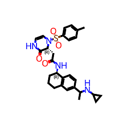 Cc1ccc(S(=O)(=O)N2C=CNC(=O)[C@H]2CC(=O)N[C@@H]2CCCc3cc(C(C)NC4CC4)ccc32)cc1